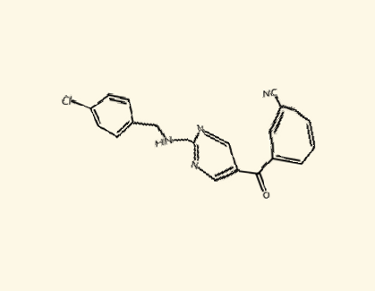 N#Cc1cccc(C(=O)c2cnc(NCc3ccc(Cl)cc3)nc2)c1